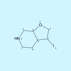 IC1COC2CNCCC12